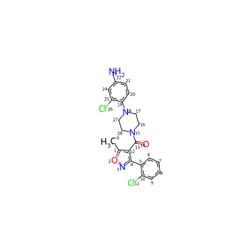 Cc1onc(-c2ccccc2Cl)c1C(=O)N1CCN(c2ccc(N)cc2Cl)CC1